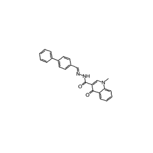 Cn1cc(C(=O)N/N=C/c2ccc(-c3ccccc3)cc2)c(=O)c2ccccc21